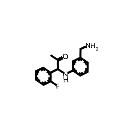 CC(=O)C(Nc1cccc(CN)c1)c1ccccc1F